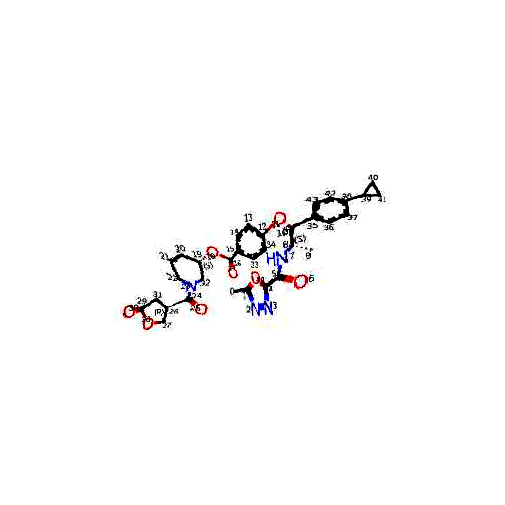 Cc1nnc(C(=O)N[C@@H](C)[C@H](Oc2ccc(C(=O)O[C@H]3CCCN(C(=O)[C@H]4COC(=O)C4)C3)cc2)c2ccc(C3CC3)cc2)o1